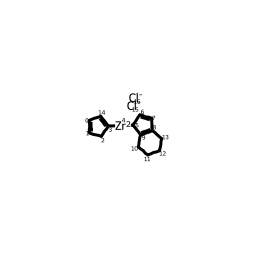 C1=CC[C]([Zr+2][CH]2C=CC3=C2CCCC3)=C1.[Cl-].[Cl-]